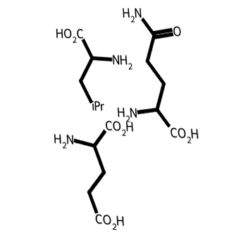 CC(C)CC(N)C(=O)O.NC(=O)CCC(N)C(=O)O.NC(CCC(=O)O)C(=O)O